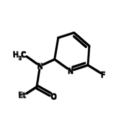 CCC(=O)N(C)C1CC=CC(F)=N1